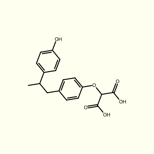 CC(Cc1ccc(OC(C(=O)O)C(=O)O)cc1)c1ccc(O)cc1